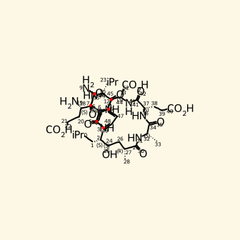 CC(C)C[C@H](NC(=O)[C@@H](CC(N)=O)NC(=O)[C@H](NC(=O)[C@@H](N)CCC(=O)O)C(C)C)[C@@H](O)C[C@@H](C)C(=O)N[C@@H](C)C(=O)N[C@@H](CCC(=O)O)C(=O)N[C@@H](Cc1ccccc1)C(=O)O